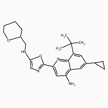 CC(C)(C)c1cc(C2CC2)cc2c(N)cc(-c3nnc(NCC4CCCCO4)o3)nc12